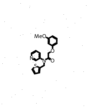 COc1cccc(OCC(=O)N(Cc2cccs2)c2cccnc2)c1